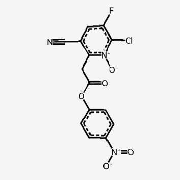 N#Cc1cc(F)c(Cl)[n+]([O-])c1CC(=O)Oc1ccc([N+](=O)[O-])cc1